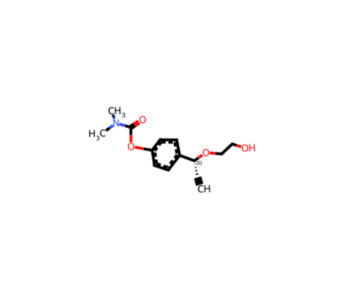 C#C[C@@H](OCCO)c1ccc(OC(=O)N(C)C)cc1